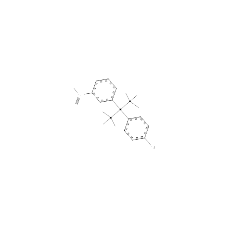 Nc1ccc(C(c2cccc([N+](=O)[O-])c2)(C(F)(F)F)C(F)(F)F)cc1